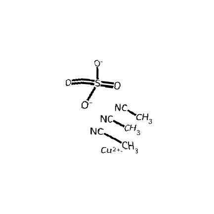 CC#N.CC#N.CC#N.O=S(=O)([O-])[O-].[Cu+2]